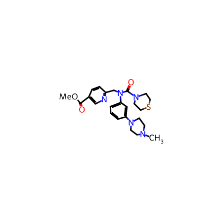 COC(=O)c1ccc(CN(C(=O)N2CCSCC2)c2cccc(N3CCN(C)CC3)c2)nc1